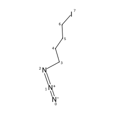 [N-]=[N+]=NCCCCI